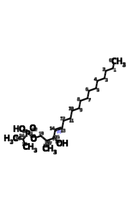 CCCCCCCCCCCCC/C=C/[C@H](O)[C@H](C)COP(=O)(O)C(C)C